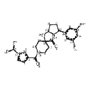 O=C(c1ccn(C(F)F)n1)N1CCC2(CC1)OC1CCC(c3cc(F)cc(F)c3)N1C2=O